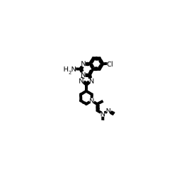 C=NN(C)/C=C(\C)N1CCCC(c2nc3c4cc(Cl)ccc4nc(N)n3n2)C1